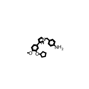 COc1ccc(-c2ccn(Cc3ccc(N)cc3)n2)cc1OC1CCCC1